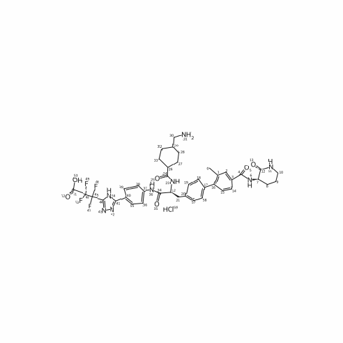 Cc1cc(C(=O)N[C@@H]2CCCNC2=O)ccc1-c1ccc(C[C@H](NC(=O)C2CCC(CN)CC2)C(=O)Nc2ccc(-c3nnc(C(F)(F)C(F)(F)C(=O)O)[nH]3)cc2)cc1.Cl